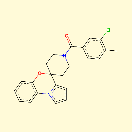 Cc1ccc(C(=O)N2CCC3(CC2)Oc2ccccc2-n2cccc23)cc1Cl